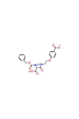 COC(=O)c1ccc(OCCNC(=O)C(NC(=O)OCc2ccccc2)C(=O)O)cc1